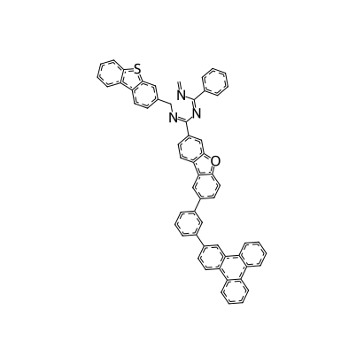 C=N/C(=N\C(=N/Cc1ccc2c(c1)sc1ccccc12)c1ccc2c(c1)oc1ccc(-c3cccc(-c4ccc5c6ccccc6c6ccccc6c5c4)c3)cc12)c1ccccc1